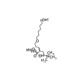 CCCCCCCCCCCCCCCCOC[C@H](C=C(CC[N+](C)(C)C)P(=O)(O)O)OC